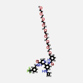 COCCOCCOCCOCCOCCOCCOCCOCCOCc1cccc(C(=O)Nc2ccc(NC3CCC3)cc2-c2cc(C(=O)NCc3cccc(C(F)(F)F)c3)ccn2)c1